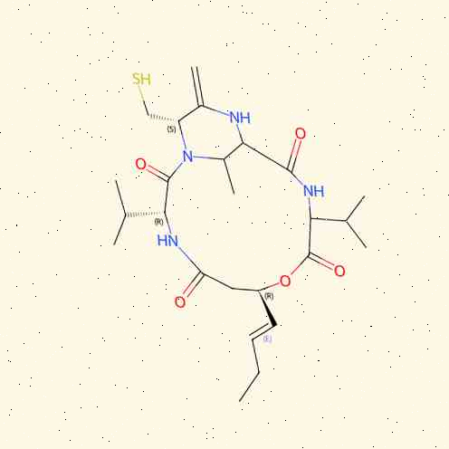 C=C1NC2C(=O)NC(C(C)C)C(=O)O[C@@H](/C=C/CC)CC(=O)N[C@H](C(C)C)C(=O)N(C2C)[C@@H]1CS